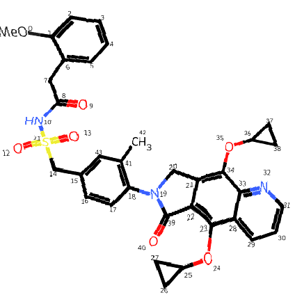 COc1ccccc1CC(=O)NS(=O)(=O)Cc1ccc(N2Cc3c(c(OC4CC4)c4cccnc4c3OC3CC3)C2=O)c(C)c1